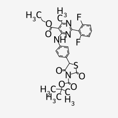 CCOC(=O)c1c(C)nc(-c2c(F)cccc2F)nc1Nc1ccc(C2SC(=O)N(C(=O)OC(C)(C)C)C2=O)cc1